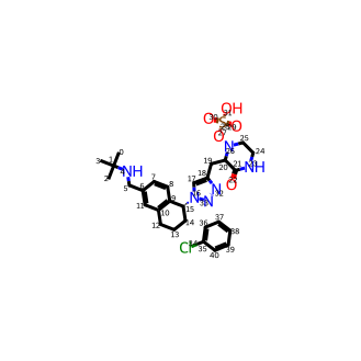 CC(C)(C)NCc1ccc2c(c1)CCC[C@H]2n1cc(CC2C(=O)NCCN2OS(=O)(=O)O)nn1.Clc1ccccc1